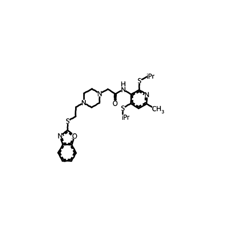 Cc1cc(SC(C)C)c(NC(=O)CN2CCN(CCSc3nc4ccccc4o3)CC2)c(SC(C)C)n1